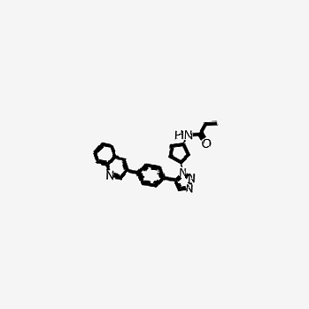 CCC(=O)N[C@H]1CC[C@@H](n2nncc2-c2ccc(C3=CC4CC=CC=C4N=C3)cc2)C1